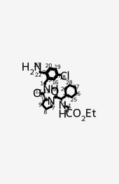 CCOC(=O)CN[C@@H](C(=O)N1CCC[C@H]1C(=O)NCc1cc(Cl)ccc1CN)C1CCCCC1